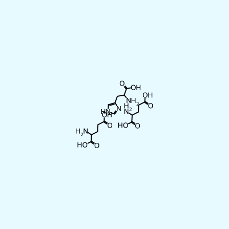 NC(CCC(=O)O)C(=O)O.NC(CCC(=O)O)C(=O)O.NC(Cc1c[nH]cn1)C(=O)O